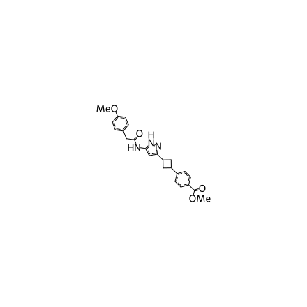 COC(=O)c1ccc(C2CC(c3cc(NC(=O)Cc4ccc(OC)cc4)[nH]n3)C2)cc1